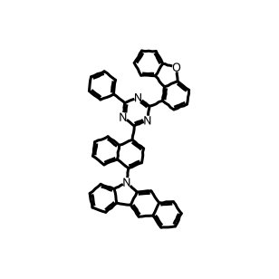 c1ccc(-c2nc(-c3ccc(-n4c5ccccc5c5cc6ccccc6cc54)c4ccccc34)nc(-c3cccc4oc5ccccc5c34)n2)cc1